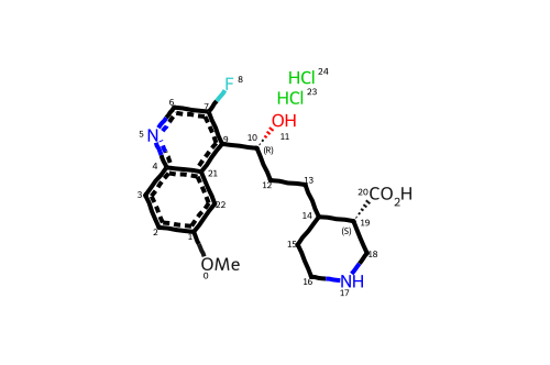 COc1ccc2ncc(F)c([C@H](O)CCC3CCNC[C@H]3C(=O)O)c2c1.Cl.Cl